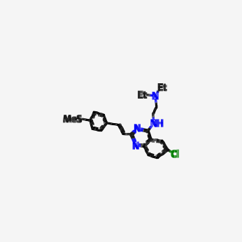 CCN(CC)CCNc1nc(C=Cc2ccc(SC)cc2)nc2ccc(Cl)cc12